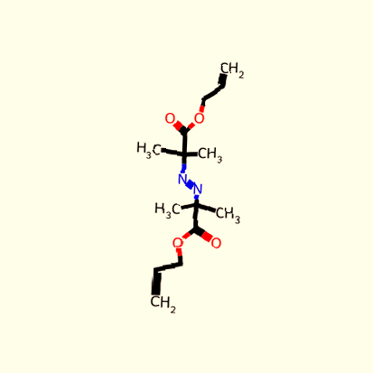 C=CCOC(=O)C(C)(C)N=NC(C)(C)C(=O)OCC=C